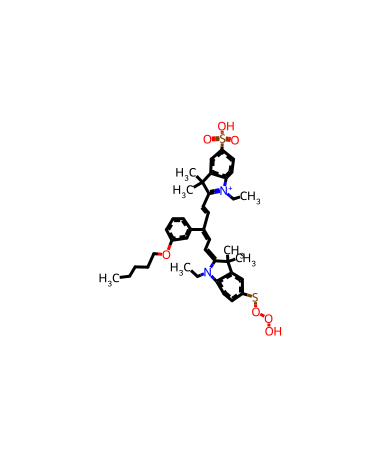 CCCCCOc1cccc(C(=C\C=C2\N(CC)c3ccc(SOOO)cc3C2(C)C)/C=C/C2=[N+](CC)c3ccc(S(=O)(=O)O)cc3C2(C)C)c1